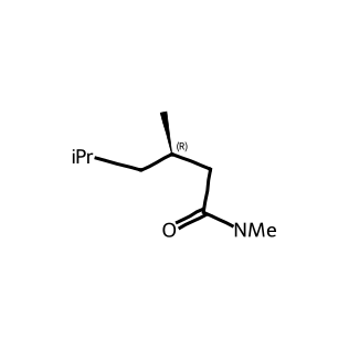 CNC(=O)C[C@H](C)CC(C)C